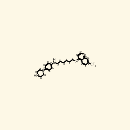 FC(F)(F)c1ccc2c(SCCCCCCNc3ccc(N4CCNCC4)cc3)ccnc2c1